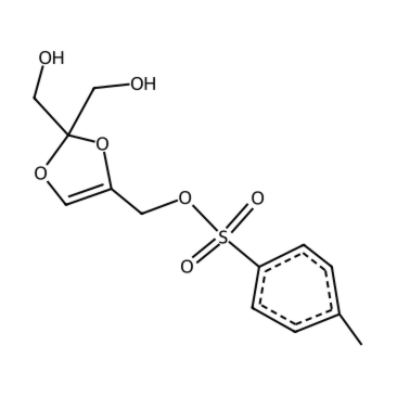 Cc1ccc(S(=O)(=O)OCC2=COC(CO)(CO)O2)cc1